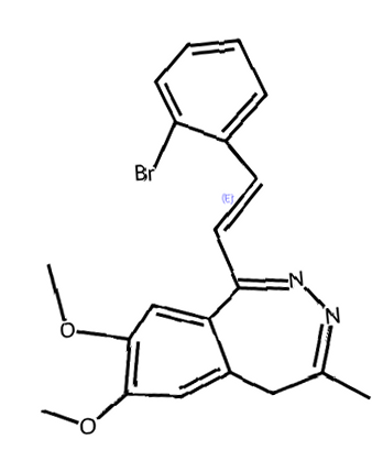 COc1cc2c(cc1OC)C(/C=C/c1ccccc1Br)=NN=C(C)C2